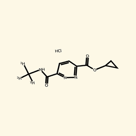 Cl.[2H]C([2H])([2H])NC(=O)c1ccc(C(=O)OC2CC2)nn1